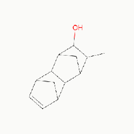 CC1C(O)C2CC1C1C3C=CC(C3)C21